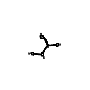 [O]O[C](Cl)Cl